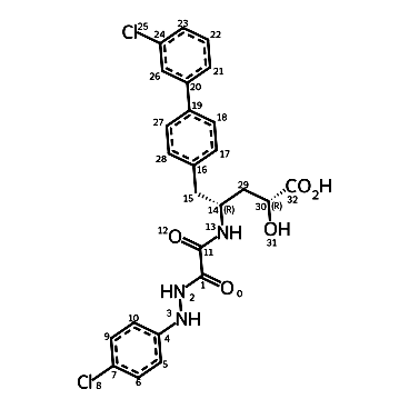 O=C(NNc1ccc(Cl)cc1)C(=O)N[C@H](Cc1ccc(-c2cccc(Cl)c2)cc1)C[C@@H](O)C(=O)O